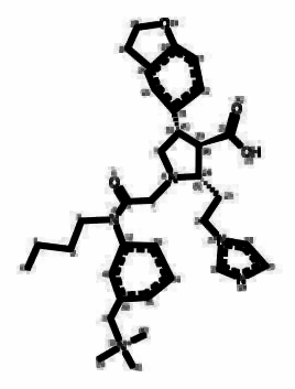 CCCCN(C(=O)CN1C[C@H](c2ccc3c(c2)CCO3)[C@@H](C(=O)O)[C@@H]1CCn1ccnc1)c1cccc(C[N+](C)(C)C)c1